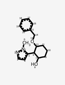 Cn1nccc1C1C(O)CCCC1OCc1ccccc1